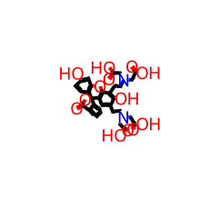 O=C(O)CN(CCc1cc2c(c(CCN(CC(=O)O)CC(=O)O)c1O)Oc1cc(O)ccc1C21OC(=O)c2ccccc21)CC(=O)O